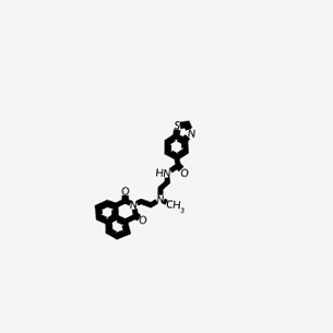 CN(CCNC(=O)c1ccc2scnc2c1)CCN1C(=O)c2cccc3cccc(c23)C1=O